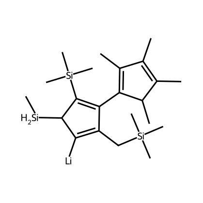 [Li][C]1=C(C[Si](C)(C)C)C(C2=C(C)C(C)=C(C)C2C)=C([Si](C)(C)C)C1[SiH2]C